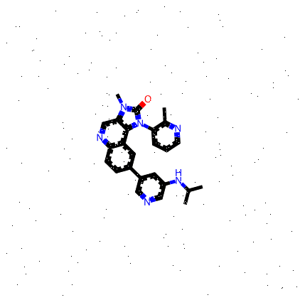 Cc1ncccc1-n1c(=O)n(C)c2cnc3ccc(-c4cncc(NC(C)C)c4)cc3c21